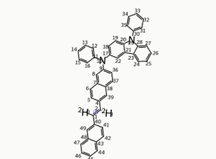 [2H]/C(=C(/[2H])c1ccc2cc(N(c3ccccc3)c3ccc4c(c3)c3ccccc3n4-c3ccccc3)ccc2c1)c1ccc2ccccc2c1